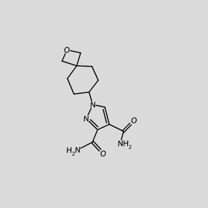 NC(=O)c1cn(C2CCC3(CC2)COC3)nc1C(N)=O